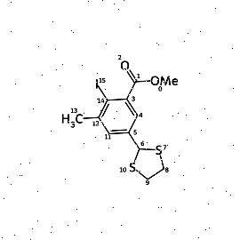 COC(=O)c1cc(C2SCCS2)cc(C)c1I